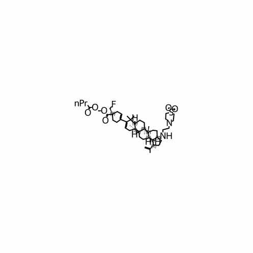 C=C(C)[C@@H]1CC[C@]2(NCCN3CCS(=O)(=O)CC3)CC[C@]3(C)[C@H](CC[C@@H]4[C@@]5(C)CC=C(C6=CC[C@@](CF)(C(=O)OCOC(=O)CCC)CC6)C(C)(C)[C@@H]5CC[C@]43C)[C@@H]12